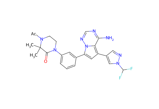 CC(=O)N1CCN(c2cccc(-c3cc(-c4cnn(C(F)F)c4)c4c(N)ncnn34)c2)C(=O)C1(C)C